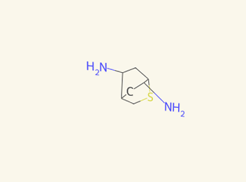 NC1CC2SCC1CC2N